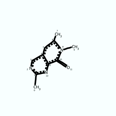 Cc1ncc2cc(C)n(C)c(=O)c2n1